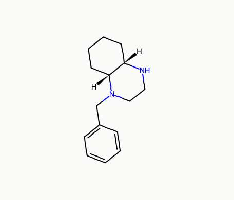 c1ccc(CN2CCN[C@H]3CCCC[C@H]32)cc1